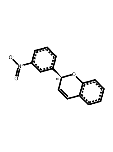 O=[N+]([O-])c1cccc([C@@H]2C=Cc3ccccc3O2)c1